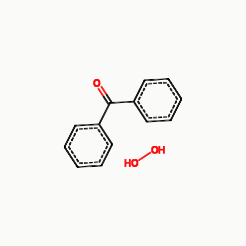 O=C(c1ccccc1)c1ccccc1.OO